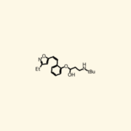 CCc1cc(/C=C\c2ccccc2OC(O)CCNC(C)(C)C)on1